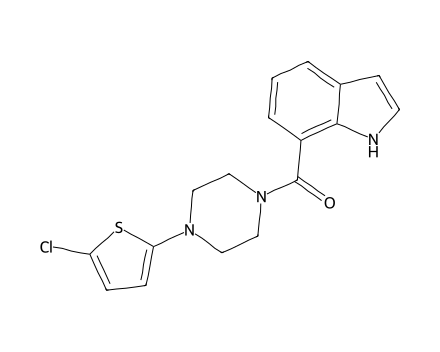 O=C(c1cccc2cc[nH]c12)N1CCN(c2ccc(Cl)s2)CC1